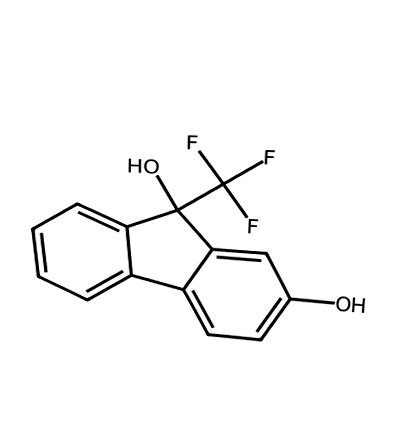 Oc1ccc2c(c1)C(O)(C(F)(F)F)c1ccccc1-2